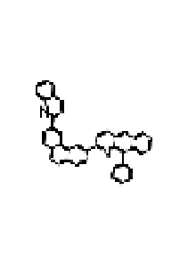 c1ccc(-c2c3ccccc3cc3ccc(-c4ccc5ccc6ccc(-c7ccc8ccccc8n7)cc6c5c4)nc23)cc1